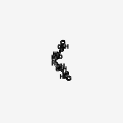 CC(CCCNC(=O)NCCCC(=O)NC1CCCCC1)CNC(=O)NCCOC(=O)NC1CCCCC1